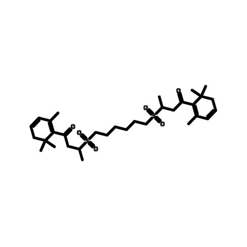 CC1=C(C(=O)CC(C)S(=O)(=O)CCCCCCS(=O)(=O)C(C)CC(=O)C2=C(C)C=CCC2(C)C)C(C)(C)CC=C1